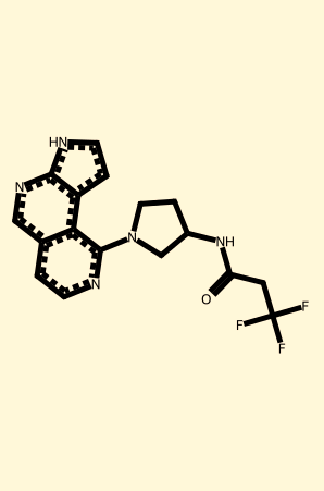 O=C(CC(F)(F)F)NC1CCN(c2nccc3cnc4[nH]ccc4c23)C1